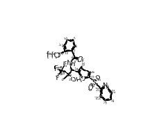 CC(O)(C(NC(=O)c1ccccc1O)c1ccc(S(=O)(=O)c2ccccn2)s1)C(F)(F)F